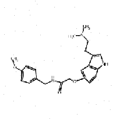 COc1ccc(CNC(=O)COc2ccc3[nH]cc(CCN(C)C)c3c2)cc1